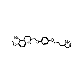 COc1ccc2nc(COc3ccc(OCCCC4=NN=CC4)cc3)ccc2c1Br